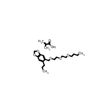 C=C(C)C(=O)O.CCCCOCCOCCOCc1cc2c(cc1CCC)OCO2